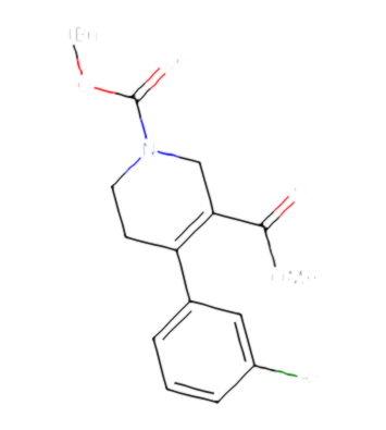 COC(=O)C1=C(c2cccc(Br)c2)CCN(C(=O)OC(C)(C)C)C1